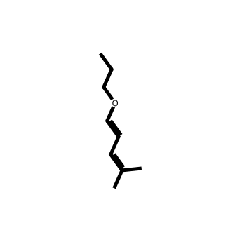 CCCOC=CC=C(C)C